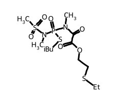 CCSCCOC(=O)C(=O)N(C)P(=O)(SC(C)CC)N(C)S(C)(=O)=O